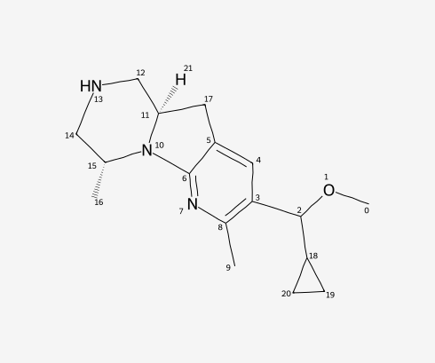 COC(c1cc2c(nc1C)N1[C@@H](CNC[C@H]1C)C2)C1CC1